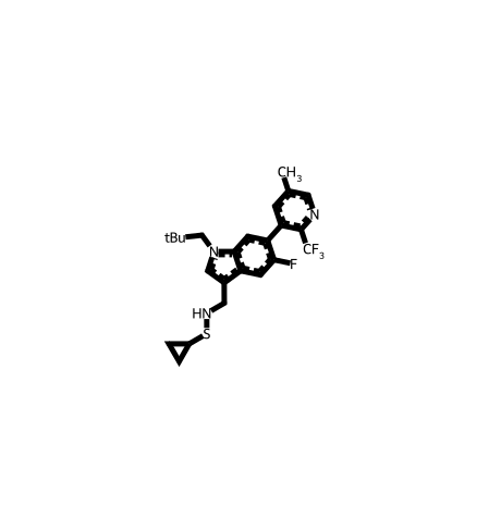 Cc1cnc(C(F)(F)F)c(-c2cc3c(cc2F)c(CNSC2CC2)cn3CC(C)(C)C)c1